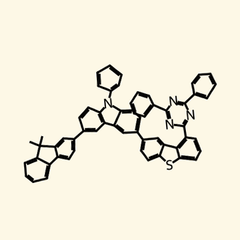 CC1(C)c2ccccc2-c2ccc(-c3ccc4c(c3)c3cc(-c5ccc6sc7cccc(-c8nc(-c9ccccc9)nc(-c9ccccc9)n8)c7c6c5)ccc3n4-c3ccccc3)cc21